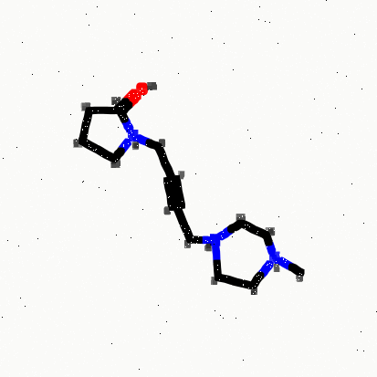 CN1CCN(CC#CCN2CCCC2=O)CC1